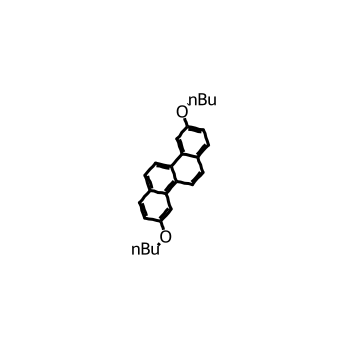 CCCCOc1ccc2ccc3c4cc(OCCCC)ccc4ccc3c2c1